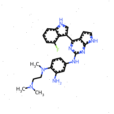 CN(C)CCN(C)c1ccc(Nc2nc(-c3c[nH]c4cccc(F)c34)c3cc[nH]c3n2)cc1N